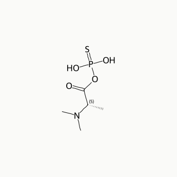 C[C@@H](C(=O)OP(O)(O)=S)N(C)C